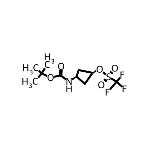 CC(C)(C)OC(=O)N[C@H]1C[C@@H](OS(=O)(=O)C(F)(F)F)C1